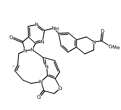 COC(=O)N1CCc2ccc(Nc3ncc4c(=O)n5n(c4n3)-c3ccc4c(n3)N(CC/C=C/C5)C(=O)CO4)cc2C1